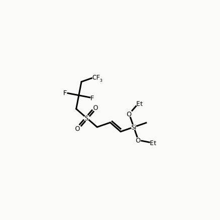 CCO[Si](C)(/C=C/CS(=O)(=O)CC(F)(F)CC(F)(F)F)OCC